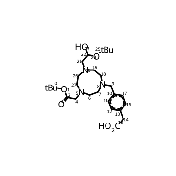 CC(C)(C)OC(=O)CN1CCN(Cc2ccc(CC(=O)O)cc2)CCN(CC(O)OC(C)(C)C)CC1